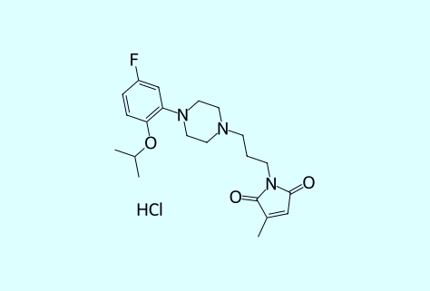 CC1=CC(=O)N(CCCN2CCN(c3cc(F)ccc3OC(C)C)CC2)C1=O.Cl